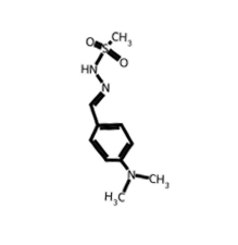 CN(C)c1ccc(C=NNS(C)(=O)=O)cc1